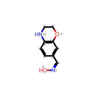 O/N=C\c1ccc2c(c1)OCCN2